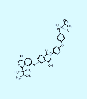 CC(C)C(C)(C)Nc1ccc(Oc2ccc(NC(=O)c3ccc(Oc4ccc(C(=O)O)c(C(=O)C(C)(C)C(C)C)c4)cc3C(=O)O)cc2)cc1